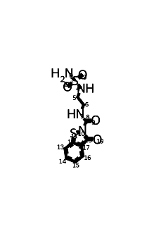 NS(=O)(=O)NCCNC(=O)n1sc2ccccc2c1=O